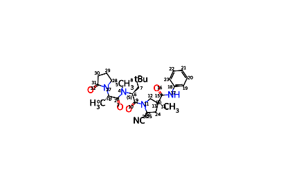 C[C@@H](C(=O)N(C)[C@@H](CC(C)(C)C)C(=O)N1C[C@@](C)(C(=O)Nc2ccccc2)C[C@H]1C#N)N1CCCC1=O